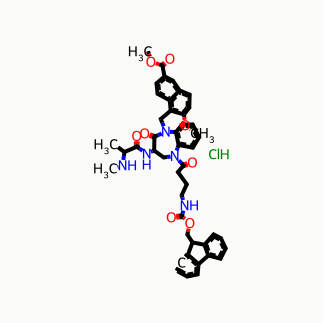 CNC(C)C(=O)NC1CN(C(=O)CCCNC(=O)OCC2c3ccccc3-c3ccccc32)c2ccccc2N(Cc2c(OC)ccc3cc(C(=O)OC)ccc23)C1=O.Cl